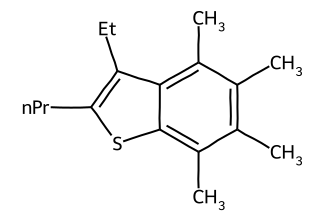 CCCc1sc2c(C)c(C)c(C)c(C)c2c1CC